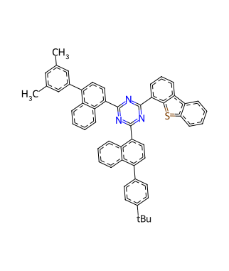 Cc1cc(C)cc(-c2ccc(-c3nc(-c4ccc(-c5ccc(C(C)(C)C)cc5)c5ccccc45)nc(-c4cccc5c4sc4ccccc45)n3)c3ccccc23)c1